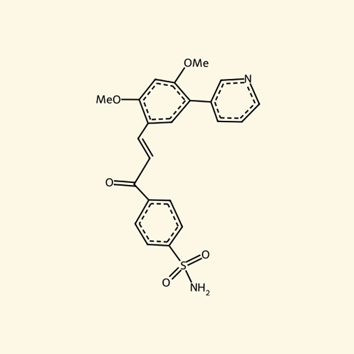 COc1cc(OC)c(-c2cccnc2)cc1C=CC(=O)c1ccc(S(N)(=O)=O)cc1